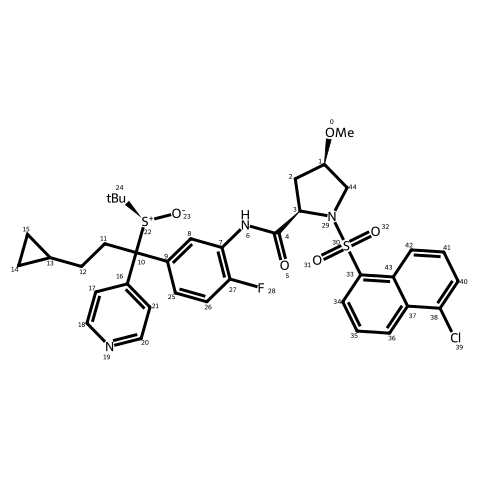 CO[C@@H]1C[C@H](C(=O)Nc2cc(C(CCC3CC3)(c3ccncc3)[S@+]([O-])C(C)(C)C)ccc2F)N(S(=O)(=O)c2cccc3c(Cl)cccc23)C1